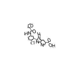 O=C(O)c1cnc2nc(-c3cc(NC(=O)c4ccco4)ccc3Cl)[nH]c2c1